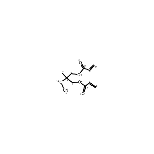 C=CC(=O)OCC(C)(COC(=O)C=C)OC#N